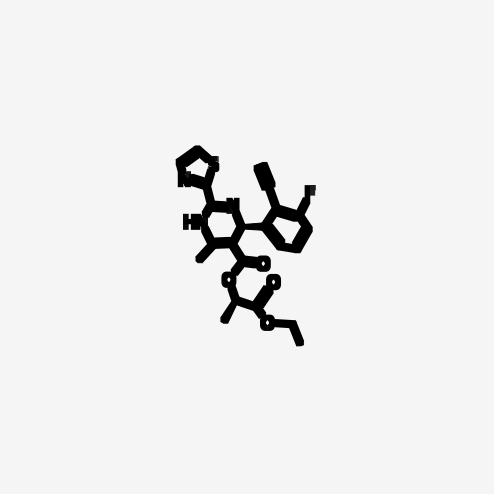 C#Cc1c(F)cccc1[C@@H]1N=C(c2nccs2)NC(C)=C1C(=O)O[C@H](C)C(=O)OCC